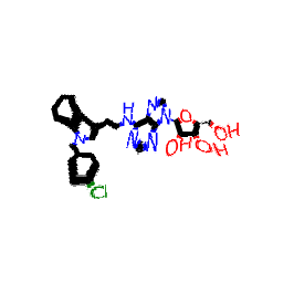 OC[C@H]1O[C@@H](n2cnc3c(NCCc4cn(Cc5ccc(Cl)cc5)c5ccccc45)ncnc32)C(O)C1O